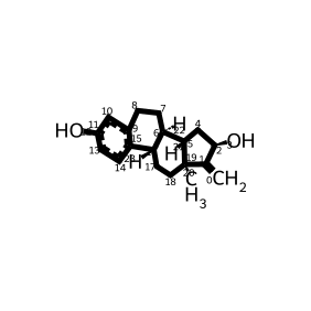 C=C1[C@H](O)C[C@H]2[C@@H]3CCc4cc(O)ccc4[C@H]3CC[C@]12C